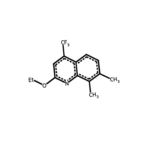 CCOc1cc(C(F)(F)F)c2ccc(C)c(C)c2n1